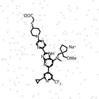 COCC1(CN(C)c2cc(-c3cc(C4CC4)nc(C(F)(F)F)c3)nc3nc(-c4cnc(N5CCC(SCC(=O)[O-])CC5)cn4)[nH]c23)CCCC1.[Na+]